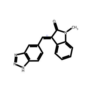 CN1C(=O)/C(=C/c2ccc3[nH]nnc3c2)c2ccccc21